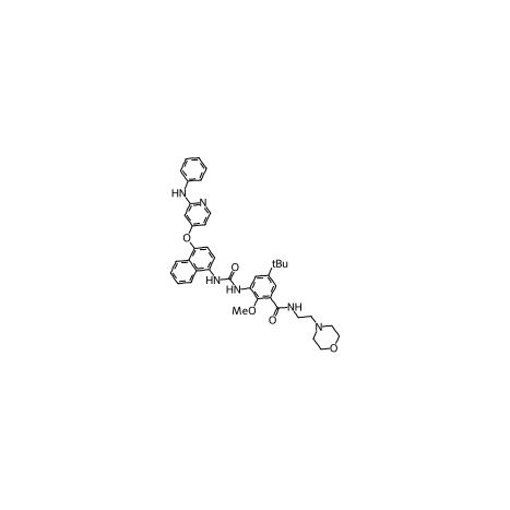 COc1c(NC(=O)Nc2ccc(Oc3ccnc(Nc4ccccc4)c3)c3ccccc23)cc(C(C)(C)C)cc1C(=O)NCCN1CCOCC1